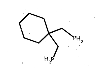 PCC1(CP)CCCCC1